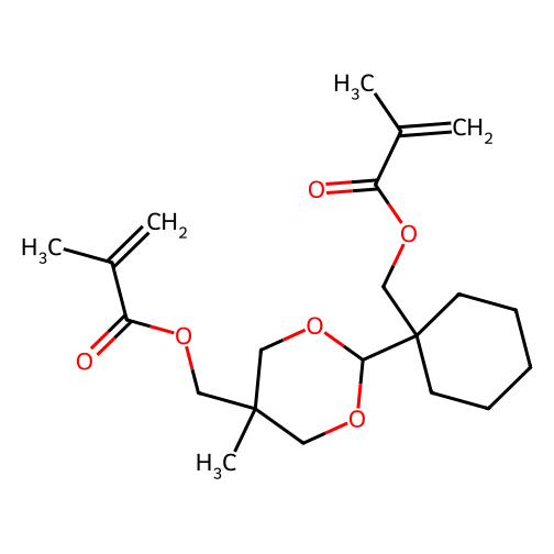 C=C(C)C(=O)OCC1(C)COC(C2(COC(=O)C(=C)C)CCCCC2)OC1